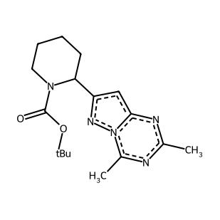 Cc1nc(C)n2nc(C3CCCCN3C(=O)OC(C)(C)C)cc2n1